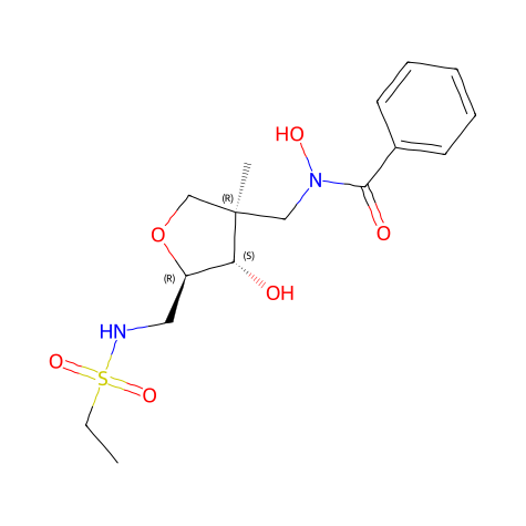 CCS(=O)(=O)NC[C@H]1OC[C@@](C)(CN(O)C(=O)c2ccccc2)[C@@H]1O